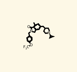 Cc1cc(CC2CCN(C3CC3)CC2)cc2c1C(=O)N(Cc1ccc(OC(F)(F)F)cc1)C2